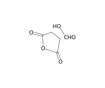 O=C1CCC(=O)O1.O=CO